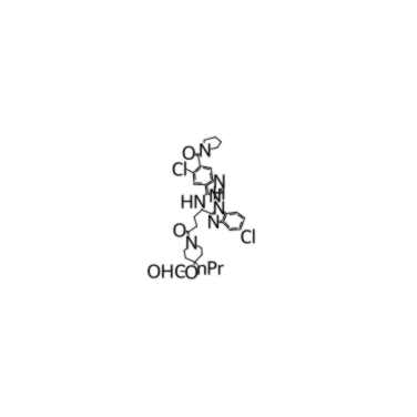 CCCC1(OC=O)CCN(C(=O)CCC(Nc2ncnc3cc(C(=O)N4CCCC4)c(Cl)cc23)c2nc3cc(Cl)ccc3[nH]2)CC1